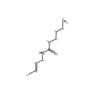 CCCCOC(=O)NCC=CI